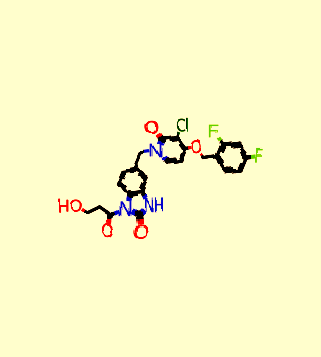 O=C(CCO)n1c(=O)[nH]c2cc(Cn3ccc(OCc4ccc(F)cc4F)c(Cl)c3=O)ccc21